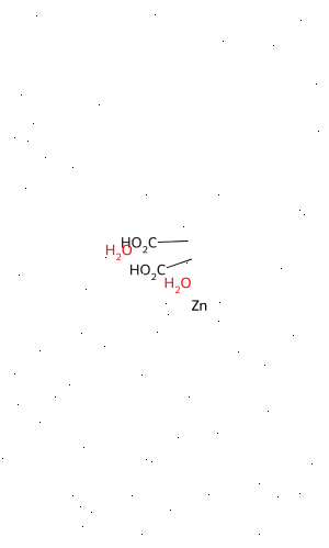 CC(=O)O.CC(=O)O.O.O.[Zn]